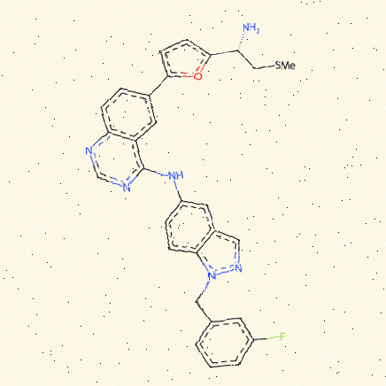 CSC[C@@H](N)c1ccc(-c2ccc3ncnc(Nc4ccc5c(cnn5Cc5cccc(F)c5)c4)c3c2)o1